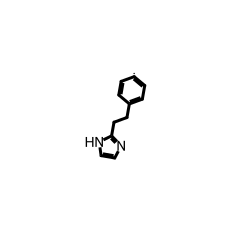 [c]1ccc(CCc2ncc[nH]2)cc1